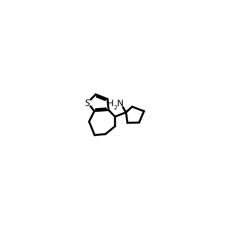 NC1(C2CCCCc3sccc32)CCCC1